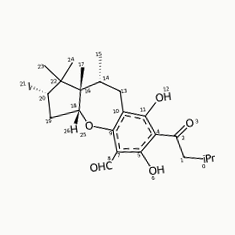 CC(C)CC(=O)c1c(O)c(C=O)c2c(c1O)C[C@@H](C)[C@]1(C)[C@@H](C[C@H](I)C1(C)C)O2